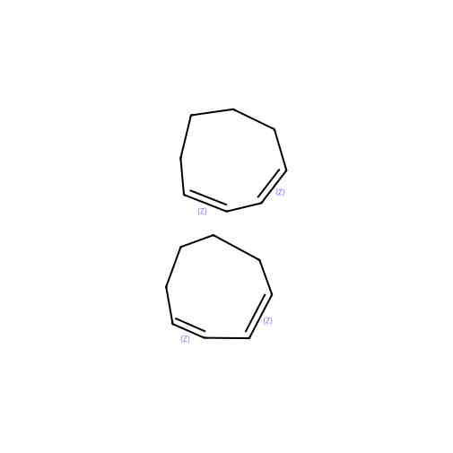 C1=C\CCCC\C=C/1.C1=C\CCCC\C=C/1